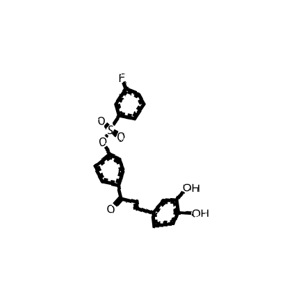 O=C(C=Cc1ccc(O)c(O)c1)c1ccc(OS(=O)(=O)c2cccc(F)c2)cc1